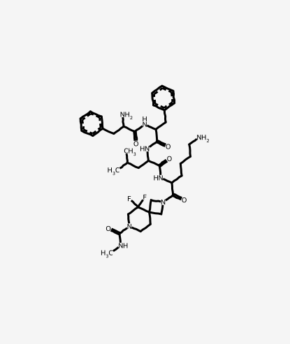 CNC(=O)N1CCC2(CN(C(=O)C(CCCCN)NC(=O)C(CC(C)C)NC(=O)C(Cc3ccccc3)NC(=O)C(N)Cc3ccccc3)C2)C(F)(F)C1